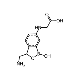 NCC1OB(O)c2cc(NCC(=O)O)ccc21